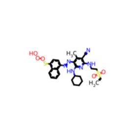 C=CS(=O)(=O)CCNc1nc(NC2CCCCC2)c(/N=N/c2ccc(SOOO)c3ccccc23)c(C)c1C#N